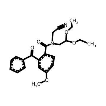 CCOC(CN(CC#N)C(=O)c1ccc(OC)cc1C(=O)c1ccccc1)OCC